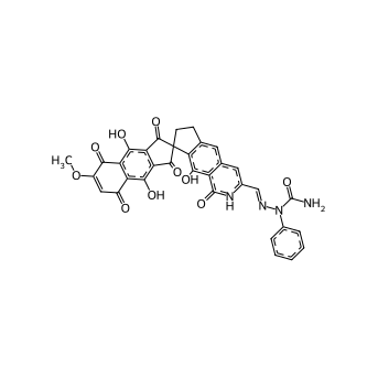 COC1=CC(=O)c2c(O)c3c(c(O)c2C1=O)C(=O)C1(CCc2cc4cc(/C=N/N(C(N)=O)c5ccccc5)[nH]c(=O)c4c(O)c21)C3=O